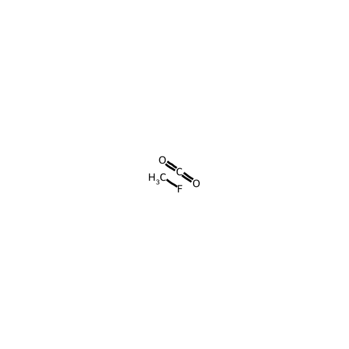 CF.O=C=O